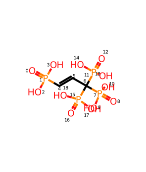 O=P(O)(O)C=CC(P(=O)(O)O)(P(=O)(O)O)P(=O)(O)O